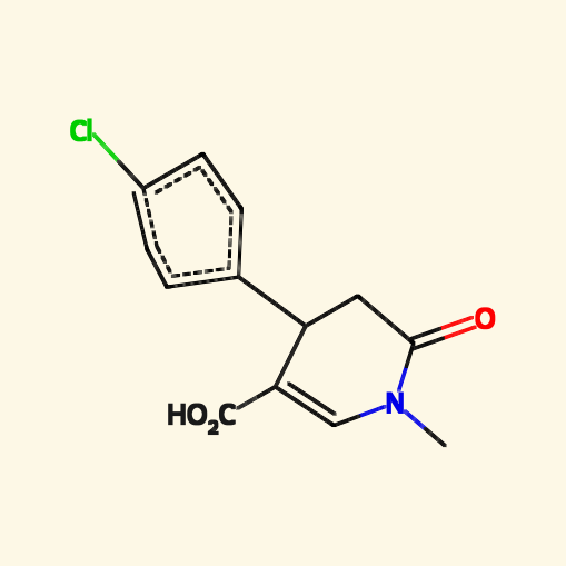 CN1C=C(C(=O)O)C(c2ccc(Cl)cc2)CC1=O